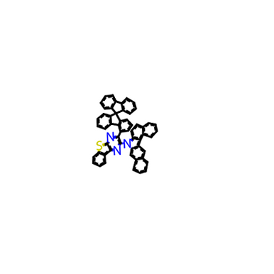 c1ccc2c(c1)-c1ccccc1C21c2ccccc2-c2c(-c3nc4sc5ccccc5c4nc3-n3c4cc5ccccc5cc4c4c5ccccc5ccc43)cccc21